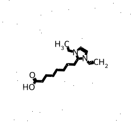 C=CN1C=CN(CC)C1CCCCCCCC(=O)O